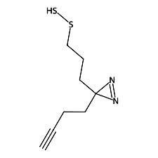 C#CCCC1(CCCSS)N=N1